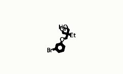 CCC(CO)(CO)COc1cccc(Br)c1